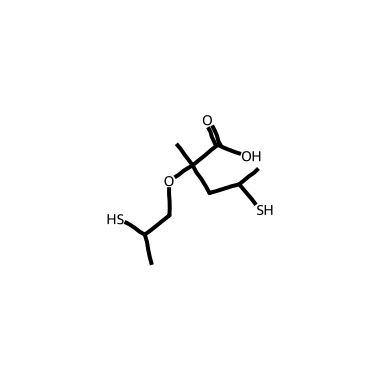 CC(S)COC(C)(CC(C)S)C(=O)O